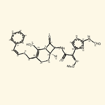 CO/N=C(\C(=O)NC1C(=O)N2C(C(=O)O)=C(CS/C=C\c3cccnc3)CS[C@H]12)c1csc(NC=O)n1